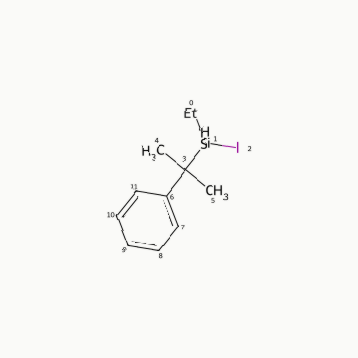 CC[SiH](I)C(C)(C)c1ccccc1